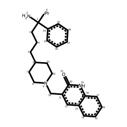 CC(C)C(N)(CCCC1CCN(Cc2cc3ccccc3[nH]c2=O)CC1)c1ccccc1